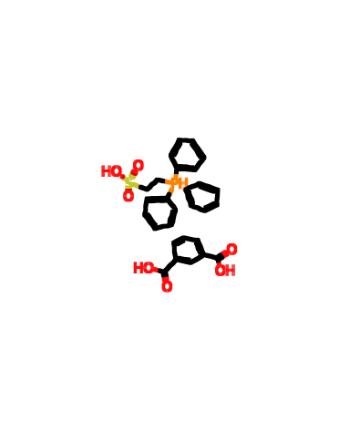 O=C(O)c1cccc(C(=O)O)c1.O=S(=O)(O)CC[PH](c1ccccc1)(c1ccccc1)c1ccccc1